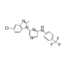 Cc1nc2cc(Cl)ccc2n1-c1cncc(Nc2ccc(C(F)(F)F)cc2)n1